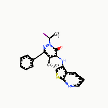 CCOC(=O)c1c(-c2ccccc2)nn(C(C)I)c(=O)c1Nc1csc2ncccc12